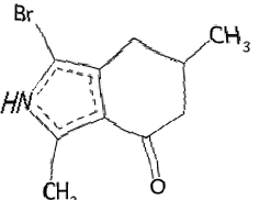 Cc1[nH]c(Br)c2c1C(=O)CC(C)C2